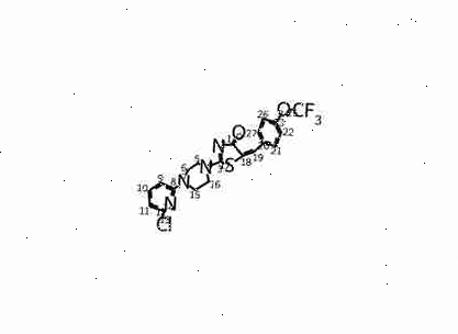 O=C1N=C(N2CCN(c3cccc(Cl)n3)CC2)S/C1=C/c1ccc(OC(F)(F)F)cc1